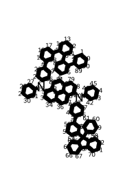 c1ccc(-c2ccccc2-c2ccccc2-c2cccc(-c3ccc(N(c4ccccc4)c4ccc5ccc6c(N(c7ccccc7)c7ccc(-c8cccc(C9(c%10ccccc%10)c%10ccccc%10-c%10ccccc%109)c8)cc7)ccc7ccc4c5c76)cc3)c2)cc1